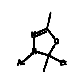 CCC1(C)OC(C)=NN1C(C)=O